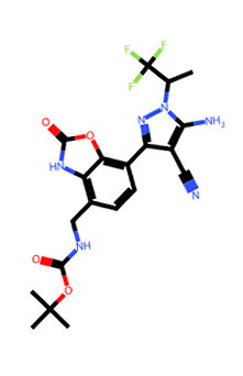 CC(n1nc(-c2ccc(CNC(=O)OC(C)(C)C)c3[nH]c(=O)oc23)c(C#N)c1N)C(F)(F)F